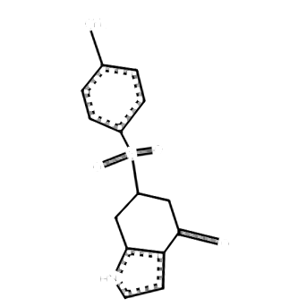 Cc1ccc(S(=O)(=O)C2CC(=O)c3cc[nH]c3C2)cc1